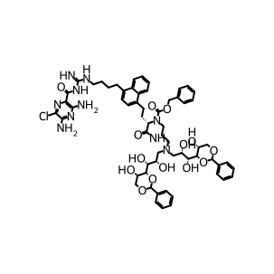 N=C(NCCCCc1ccc(CC[C@@H](C(N)=O)N(CCCN(C[C@H](O)[C@@H](O)[C@@H]2OC(c3ccccc3)OC[C@H]2O)C[C@H](O)[C@@H](O)[C@@H]2OC(c3ccccc3)OC[C@H]2O)C(=O)OCc2ccccc2)c2ccccc12)NC(=O)c1nc(Cl)c(N)nc1N